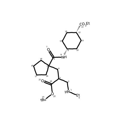 CCNCC(CC1(C(=O)N[C@H]2CC[C@@H](C(=O)OCC)CC2)CCCC1)C(=O)OC(C)(C)C